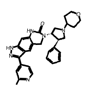 Cc1cc(-c2n[nH]c3cc4c(cc23)CN([C@@H]2CN(C3CCOCC3)C[C@H]2c2ccccc2)C(=O)N4)ccn1